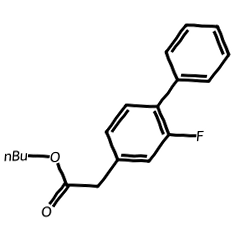 CCCCOC(=O)Cc1ccc(-c2ccccc2)c(F)c1